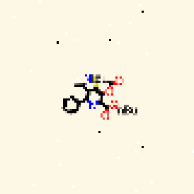 CCCCOC(=O)c1nc(-c2ccccc2)c2c(C)nsc2c1OC(=O)C(C)(C)C